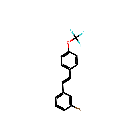 FC(F)(F)Oc1ccc(C=Cc2cccc(Br)c2)cc1